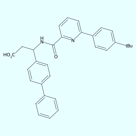 CC(C)(C)c1ccc(-c2cccc(C(=O)NC(CC(=O)O)c3ccc(-c4ccccc4)cc3)n2)cc1